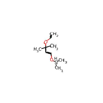 C=COC(C)(C)C=CO[SiH](C)C